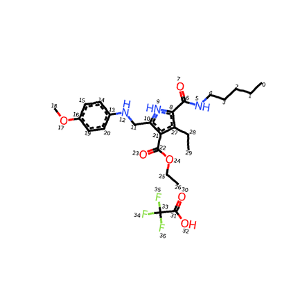 CCCCCNC(=O)c1[nH]c(CNc2ccc(OC)cc2)c(C(=O)OCC)c1CC.O=C(O)C(F)(F)F